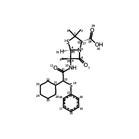 CC1(C)S[C@H]2N(C(=O)[C@]2(C)NC(=O)C(Sc2ccccc2)C2CCCCC2)[C@H]1C(=O)O